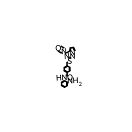 Nc1ccccc1NC(=O)c1ccc(CSc2nc(N3CCOCC3)c3cccn3n2)cc1